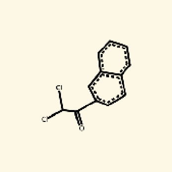 O=C(c1ccc2ccccc2c1)C(Cl)Cl